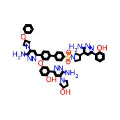 Nc1nnc(-c2ccccc2O)cc1C1CCN(S(=O)(=O)c2ccc(-c3ccc(-c4cc(N5CC(Oc6ccccc6)C5)c(N)nn4)c(Oc4ccc(O)c(-c5cc(N6CCC(O)C6)c(N)nn5)c4)c3)cc2)C1